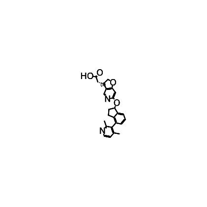 Cc1ccnc(C)c1-c1cccc2c1CCC2Oc1cc2c(cn1)[C@H](CC(=O)O)CO2